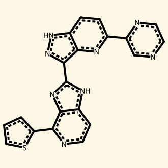 c1csc(-c2nccc3[nH]c(-c4n[nH]c5ccc(-c6cnccn6)nc45)nc23)c1